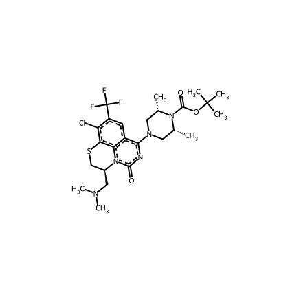 C[C@@H]1CN(c2nc(=O)n3c4c(c(Cl)c(C(F)(F)F)cc24)SC[C@@H]3CN(C)C)C[C@H](C)N1C(=O)OC(C)(C)C